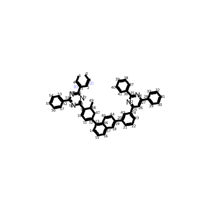 C/C=C\C(=C/C)c1nc(C2=CC=C(c3cccc4cc(-c5cccc(-c6cc(-c7ccccc7)nc(-c7ccccc7)n6)c5)ccc34)CC2C)nc(-c2ccccc2)n1